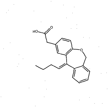 CCC/C=C1/c2ccccc2COc2ccc(CC(=O)O)cc21